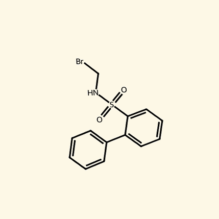 O=S(=O)(NCBr)c1ccccc1-c1ccccc1